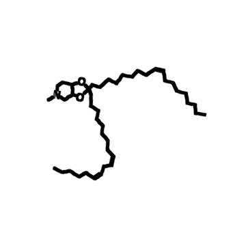 CCCCC/C=C\C/C=C\CCCCCCCCC1(CCCCCCCC/C=C\CCCCCCCC)OC2CCN(C)CC2O1